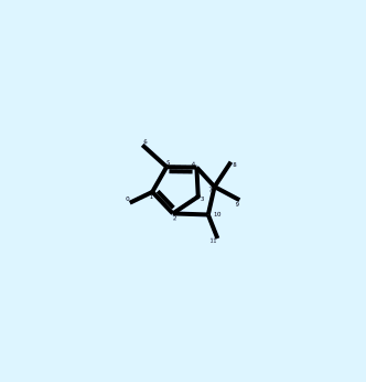 CC1=C2CC(=C1C)C(C)(C)C2C